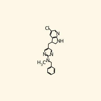 CN(Cc1ccccc1)c1ncc(CC2CNc3ncc(Cl)cc32)cn1